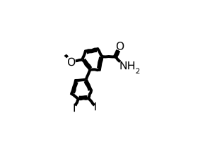 COc1ccc(C(N)=O)cc1-c1ccc(I)c(I)c1